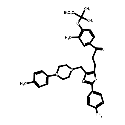 CCOC(=O)C(C)(C)Oc1ccc(C(=O)CCc2sc(-c3ccc(C(F)(F)F)cc3)nc2CN2CCN(c3ccc(C)cc3)CC2)cc1C